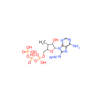 CC1C(COP(=O)(O)OP(=O)(O)OP(=O)(O)O)OC(n2c(N=[N+]=[N-])nc3c(N)ncnc32)C1O